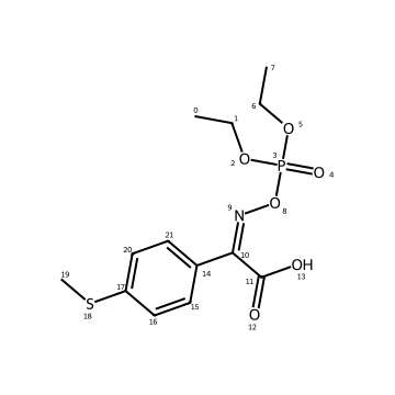 CCOP(=O)(OCC)ON=C(C(=O)O)c1ccc(SC)cc1